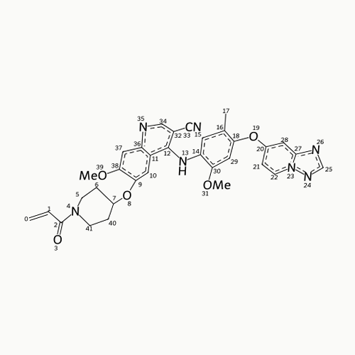 C=CC(=O)N1CCC(Oc2cc3c(Nc4cc(C)c(Oc5ccn6ncnc6c5)cc4OC)c(C#N)cnc3cc2OC)CC1